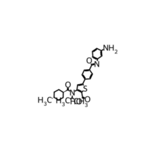 CC(C)N(c1cc(-c2ccc(-c3nc4cc(N)ccc4o3)cc2)sc1C(=O)O)C(=O)[C@H]1CC[C@H](C)CC1